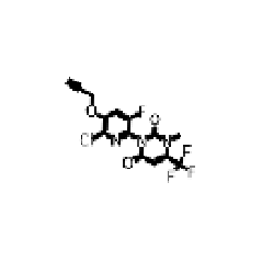 C#CCOc1cc(F)c(-n2c(=O)cc(C(F)(F)F)n(C)c2=O)nc1Cl